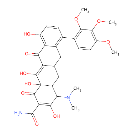 COc1ccc(-c2ccc(O)c3c2CC2CC4C(N(C)C)C(O)=C(C(N)=O)C(=O)C4(O)C(O)=C2C3=O)c(OC)c1OC